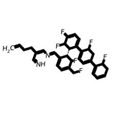 C=CCC/C(C=N)=C/N=C/C1=CC=C(CF)C(F)[C@H]1C1C(C2=CC=C(C3=CC=CCC3F)CC2F)=CC=C(F)C1F